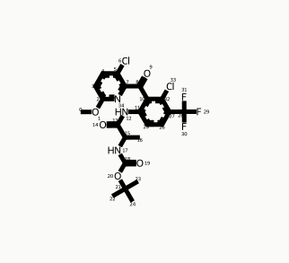 COc1ccc(Cl)c(C(=O)c2c(NC(=O)C(C)NC(=O)OC(C)(C)C)ccc(C(F)(F)F)c2Cl)n1